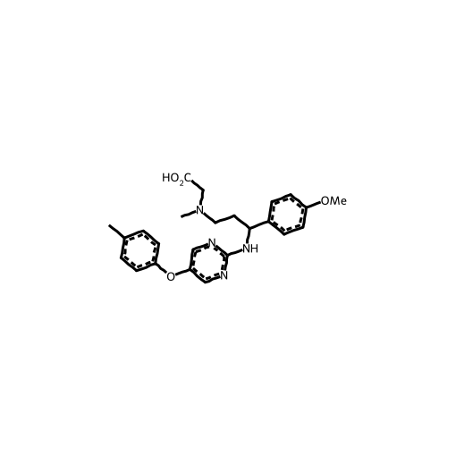 COc1ccc(C(CCN(C)CC(=O)O)Nc2ncc(Oc3ccc(C)cc3)cn2)cc1